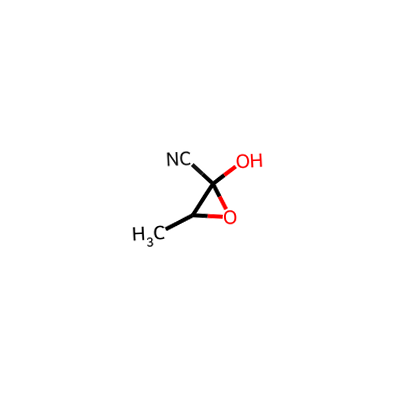 CC1OC1(O)C#N